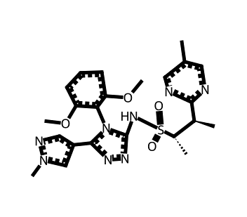 COc1cccc(OC)c1-n1c(NS(=O)(=O)[C@@H](C)[C@H](C)c2ncc(C)cn2)nnc1-c1cnn(C)c1